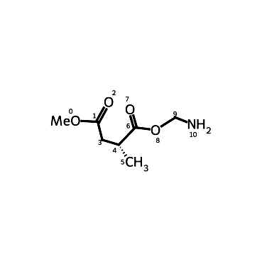 COC(=O)C[C@@H](C)C(=O)OCN